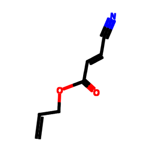 C=CCOC(=O)C=CC#N